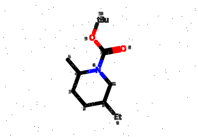 CCC1CCC(C)N(C(=O)OC(C)(C)C)C1